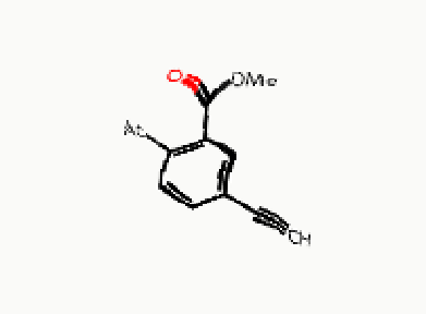 C#Cc1ccc(C(C)=O)c(C(=O)OC)c1